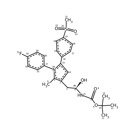 Cc1c(C[C@@H](O)NC(=O)OC(C)(C)C)cc(-c2ccc(S(C)(=O)=O)cc2)n1-c1ccc(F)cc1